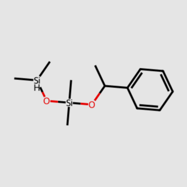 CC(O[Si](C)(C)O[SiH](C)C)c1ccccc1